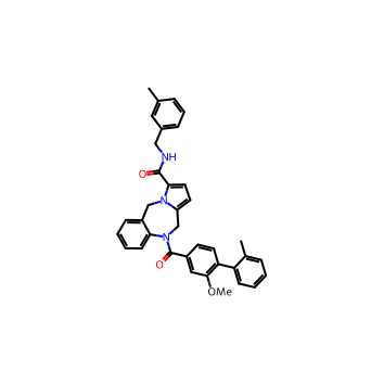 COc1cc(C(=O)N2Cc3ccc(C(=O)NCc4cccc(C)c4)n3Cc3ccccc32)ccc1-c1ccccc1C